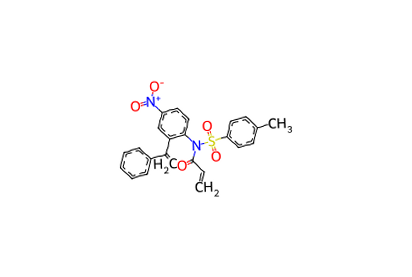 C=CC(=O)N(c1ccc([N+](=O)[O-])cc1C(=C)c1ccccc1)S(=O)(=O)c1ccc(C)cc1